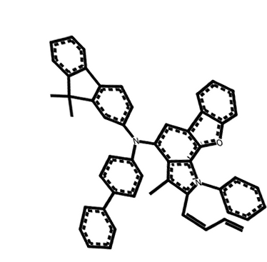 C=C/C=C\c1c(C)c2c(N(c3ccc(-c4ccccc4)cc3)c3ccc4c(c3)C(C)(C)c3ccccc3-4)cc3c4ccccc4oc3c2n1-c1ccccc1